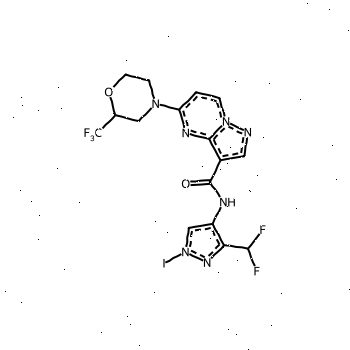 O=C(Nc1cn(I)nc1C(F)F)c1cnn2ccc(N3CCOC(C(F)(F)F)C3)nc12